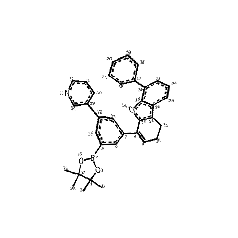 CC1(C)OB(c2cc(C3=CCCc4c3oc3c(-c5ccccc5)cccc43)cc(-c3cccnc3)c2)OC1(C)C